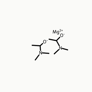 CC([O-])N(C)C.CC([O-])N(C)C.[Mg+2]